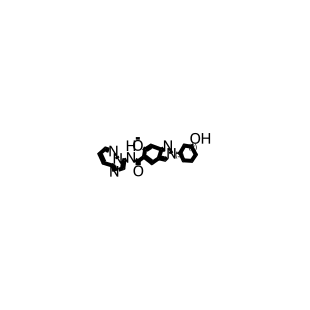 COc1cc2nn([C@H]3CCC[C@@H](O)C3)cc2cc1C(=O)Nc1cnc2cccnn12